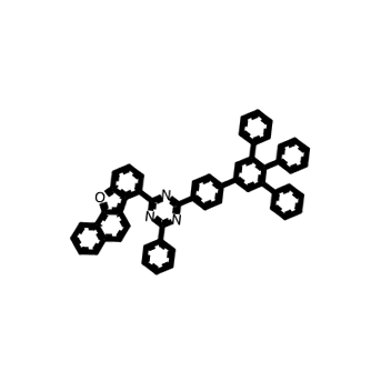 c1ccc(-c2nc(-c3ccc(-c4cc(-c5ccccc5)c(-c5ccccc5)c(-c5ccccc5)c4)cc3)nc(-c3cccc4oc5c6ccccc6ccc5c34)n2)cc1